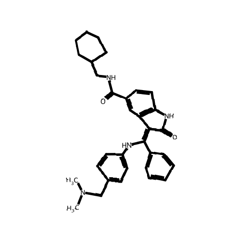 CN(C)Cc1ccc(NC(=C2C(=O)Nc3ccc(C(=O)NCC4CCCCC4)cc32)c2ccccc2)cc1